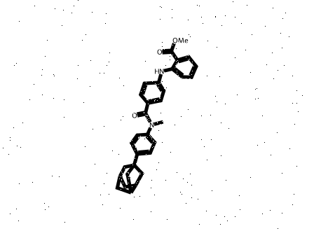 COC(=O)c1ccccc1Nc1ccc(C(=O)N(C)c2ccc(C34CC5CC(C3)C(C5)C4)cc2)cc1